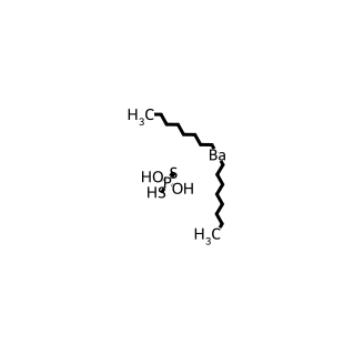 CCCCCCC[CH2][Ba][CH2]CCCCCCC.OP(O)(=S)S